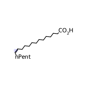 CCCCC/C=C\CCCCCCCCCCCC(=O)O